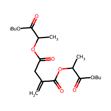 C=C(CC(=O)OC(C)C(=O)OCC(C)C)C(=O)OC(C)C(=O)OCC(C)C